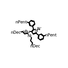 CCCCCCCCCCCC[CH2][Ni][CH2]CCCCCCCCCCCC.CCCCCc1cccc(C2=CC(CCCC)=C(c3cccc(CCCCC)c3)[N+]2=[N-])c1